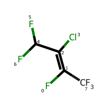 FC(=C(Cl)C(F)F)C(F)(F)F